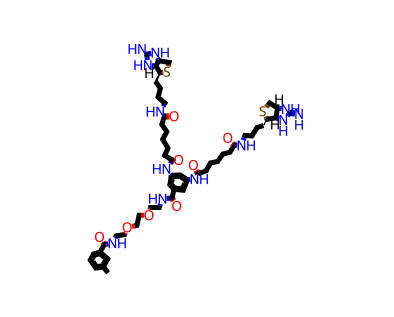 Cc1cccc(C(=O)NCCOCCOCCNC(=O)c2cc(NC(=O)CCCCCC(=O)NCCCC[C@@H]3SC[C@@H]4NC(=N)N[C@@H]43)cc(NC(=O)CCCCCC(=O)NCCCC[C@@H]3SCC4NC(=N)N[C@@H]43)c2)c1